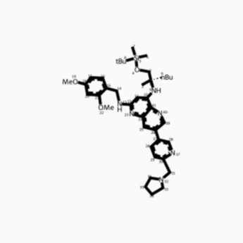 CCCC[C@](C)(CO[Si](C)(C)C(C)(C)C)Nc1cc(NCc2ccc(OC)cc2OC)nc2cc(-c3ccc(CN4CCCC4)nc3)cnc12